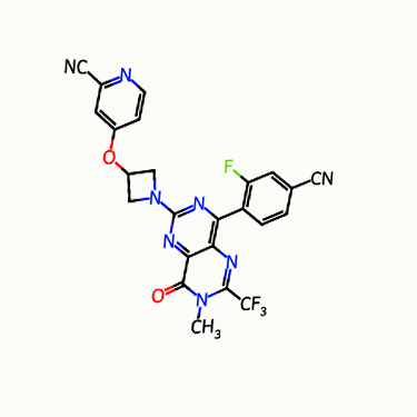 Cn1c(C(F)(F)F)nc2c(-c3ccc(C#N)cc3F)nc(N3CC(Oc4ccnc(C#N)c4)C3)nc2c1=O